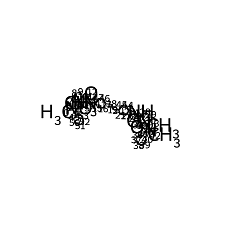 CN(C)[C@@H](C(=O)N1CCC[C@H]1C(=O)Nc1ccc(/C=C/c2ccc(NC(=O)[C@@H]3CCCN3C(=O)[C@@H](c3ccccc3)N(C)C)cc2)cc1)c1ccccc1